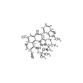 Cn1cc2c([C@H](Nc3cc(Cl)c4ncc(C#N)c(NCC(C)(C)C)c4c3)c3cn(C4(C(F)F)CC4)nn3)cccc2n1